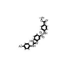 CC(=O)c1ccc(Nc2nc3cc(S(=O)(=O)Nc4ccc(C(=O)OC(C)C)cc4)ccc3[nH]2)cc1